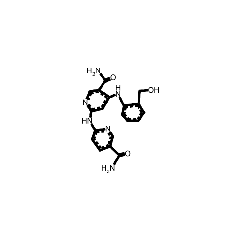 NC(=O)c1ccc(Nc2cc(Nc3ccccc3CO)c(C(N)=O)cn2)nc1